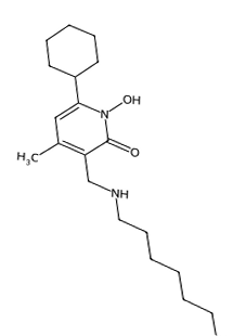 CCCCCCCNCc1c(C)cc(C2CCCCC2)n(O)c1=O